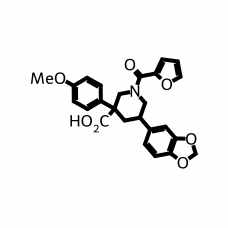 COc1ccc(C2(C(=O)O)CC(c3ccc4c(c3)OCO4)CN(C(=O)c3ccco3)C2)cc1